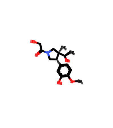 COc1ccc([C@@H]2CN(C(=O)CO)C[C@@]2(C)[C@@H](C)O)cc1O